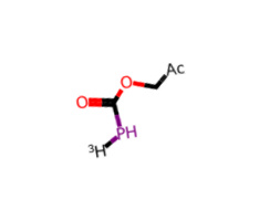 [3H]PC(=O)OCC(C)=O